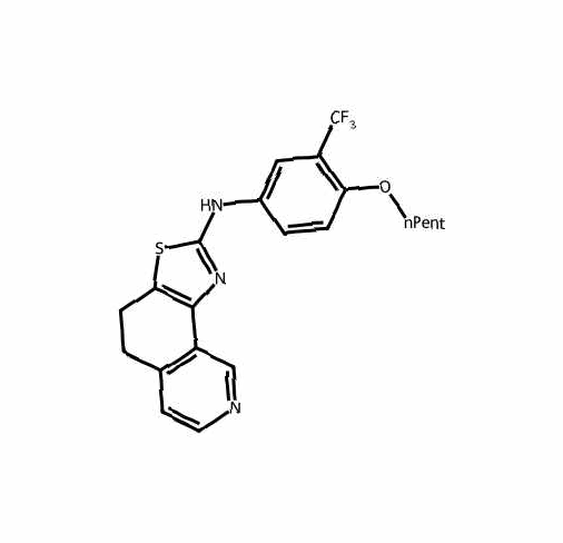 CCCCCOc1ccc(Nc2nc3c(s2)CCc2ccncc2-3)cc1C(F)(F)F